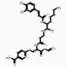 C=COC(=O)C(CSc1ccc(C(=O)OC)cn1)NC(=O)CCNC(O)C(CCCCN)NC(=O)/C=C/c1ccc(O)c(O)c1